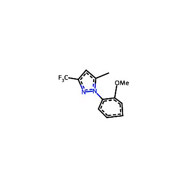 COc1ccccc1-n1nc(C(F)(F)F)cc1C